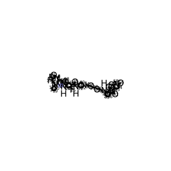 C=N/C(=N\C1=C(C)N(C)C(=O)C(F)(F)CN1C1CCCC1)Nc1cc(F)c(C(=O)NC2CCN(CCOCCOCCNc3cccc4c3C(=O)N(C3CCC(=O)N(C)C3=O)C4=O)CC2)cc1OC